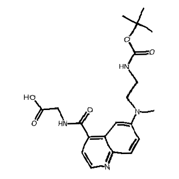 CN(CCNC(=O)OC(C)(C)C)c1ccc2nccc(C(=O)NCC(=O)O)c2c1